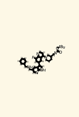 CC(C)(C)OC(=O)[N+]#CC1CCCN(c2ccnc3c(F)cc(-c4c[nH]c5ncc(CNCc6ccccc6)cc45)cc23)C1